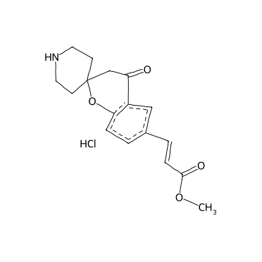 COC(=O)C=Cc1ccc2c(c1)C(=O)CC1(CCNCC1)O2.Cl